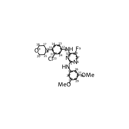 COc1cc(Nc2ncc(F)c(Nc3ccc(N4CCOCC4)c(Cl)c3)n2)cc(OC)c1